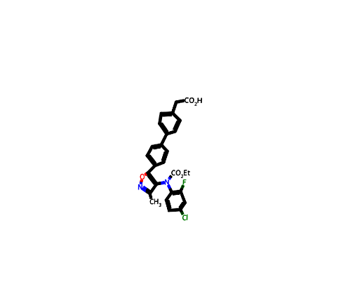 CCOC(=O)N(c1ccc(Cl)cc1F)c1c(C)noc1-c1ccc(-c2ccc(CC(=O)O)cc2)cc1